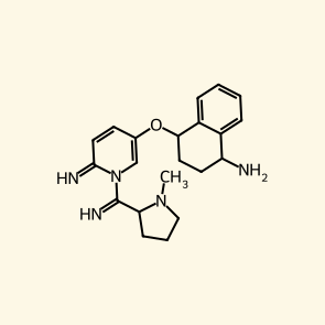 CN1CCCC1C(=N)n1cc(OC2CCC(N)c3ccccc32)ccc1=N